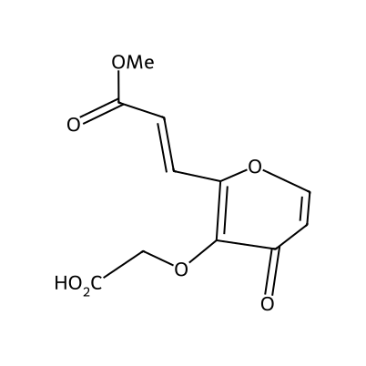 COC(=O)C=Cc1occc(=O)c1OCC(=O)O